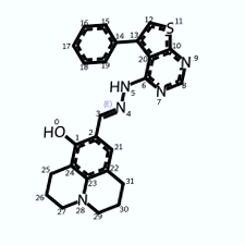 Oc1c(/C=N/Nc2ncnc3scc(-c4ccccc4)c23)cc2c3c1CCCN3CCC2